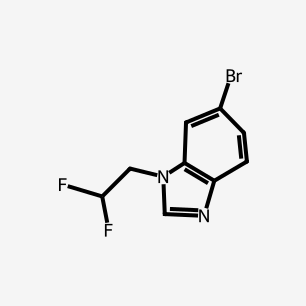 FC(F)Cn1cnc2ccc(Br)cc21